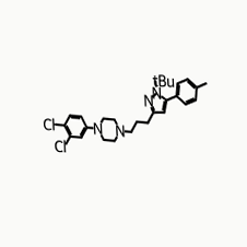 Cc1ccc(-c2cc(CCCN3CCN(c4ccc(Cl)c(Cl)c4)CC3)nn2C(C)(C)C)cc1